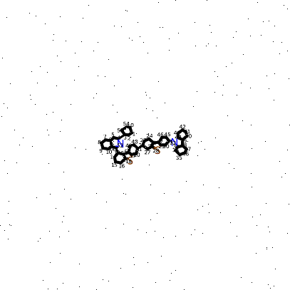 c1ccc(-c2cc3ccccc3c(-c3cccc4sc5cc(-c6ccc7c(c6)sc6cc(-n8c9ccccc9c9ccccc98)ccc67)ccc5c34)n2)cc1